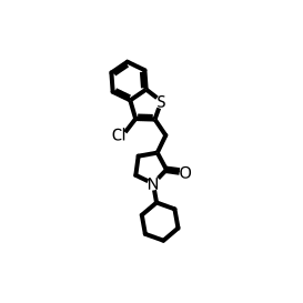 O=C1C(Cc2sc3ccccc3c2Cl)CCN1C1CCCCC1